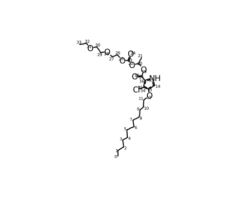 CCCCCCCCCCCCOc1c[nH]c(C(=O)OC(C)OC(=O)OCCOCCOCC)c1Cl